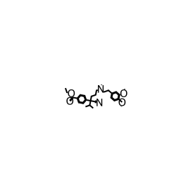 CCOC(=O)c1ccc(C(C#N)(CCCN(C)CCc2ccc(OC)c(OC)c2)C(C)C)cc1